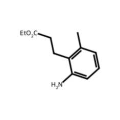 CCOC(=O)CCc1c(C)cccc1N